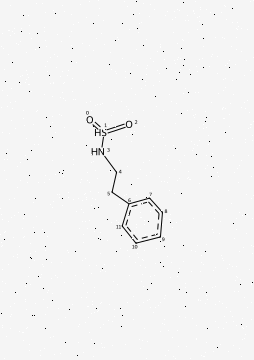 O=[SH](=O)NCCc1ccccc1